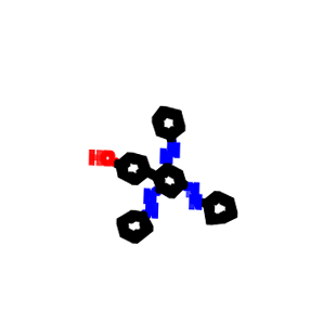 Oc1ccc(-c2c(N=Nc3ccccc3)cc(N=Nc3ccccc3)cc2N=Nc2ccccc2)cc1